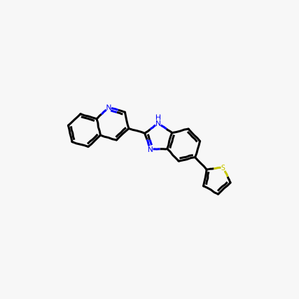 c1csc(-c2ccc3[nH]c(-c4cnc5ccccc5c4)nc3c2)c1